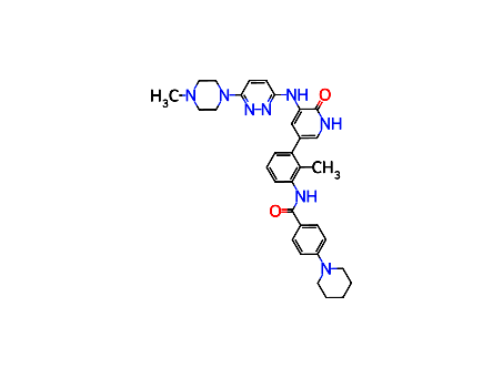 Cc1c(NC(=O)c2ccc(N3CCCCC3)cc2)cccc1-c1c[nH]c(=O)c(Nc2ccc(N3CCN(C)CC3)nn2)c1